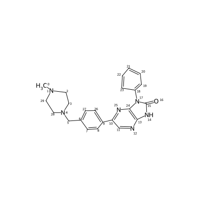 CN1CCN(Cc2ccc(-c3cnc4[nH]c(=O)n(-c5ccccc5)c4n3)cc2)CC1